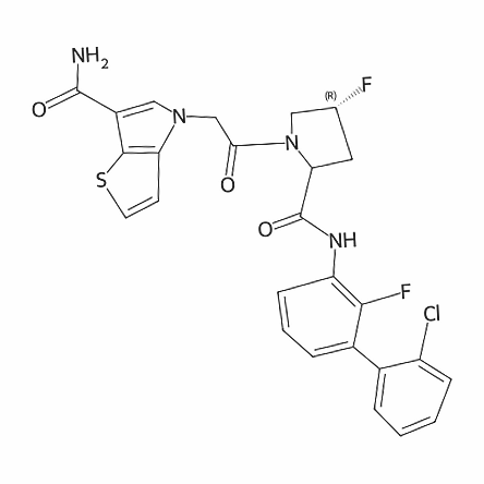 NC(=O)c1cn(CC(=O)N2C[C@H](F)CC2C(=O)Nc2cccc(-c3ccccc3Cl)c2F)c2ccsc12